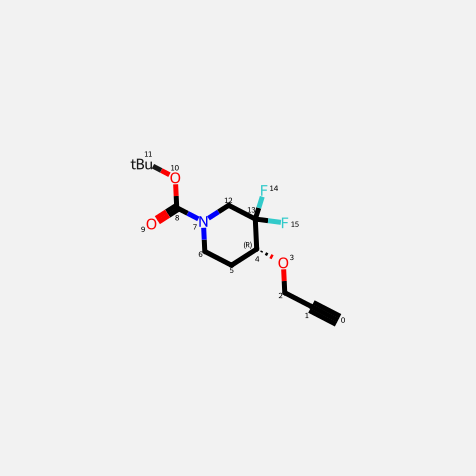 C#CCO[C@@H]1CCN(C(=O)OC(C)(C)C)CC1(F)F